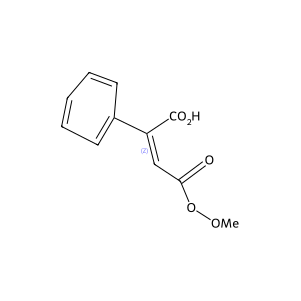 COOC(=O)/C=C(\C(=O)O)c1ccccc1